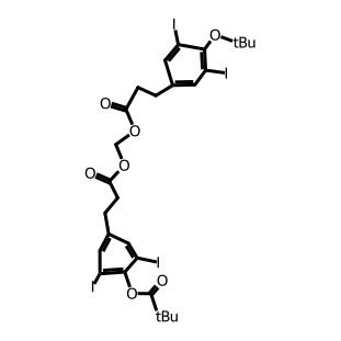 CC(C)(C)Oc1c(I)cc(CCC(=O)OCOC(=O)CCc2cc(I)c(OC(=O)C(C)(C)C)c(I)c2)cc1I